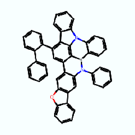 c1ccc(-c2ccccc2-c2cc3c4c5c2c2ccccc2n5-c2ccccc2B4N(c2ccccc2)c2cc4c(cc2-3)oc2ccccc24)cc1